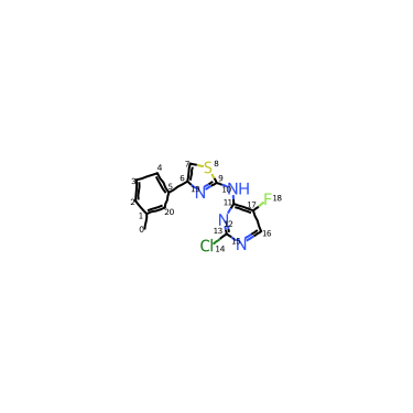 Cc1cccc(-c2csc(Nc3nc(Cl)ncc3F)n2)c1